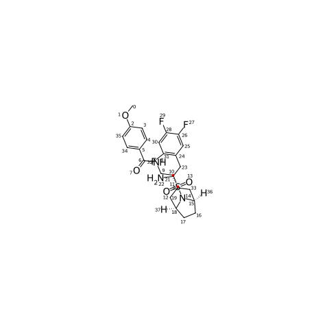 COc1ccc(C(=O)NCCS(=O)(=O)N2[C@@H]3CC[C@H]2C[C@H](C(N)Cc2cc(F)c(F)cc2F)C3)cc1